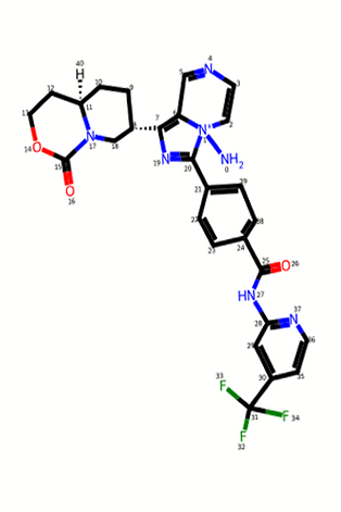 N[N+]12C=CN=CC1=C([C@H]1CC[C@@H]3CCOC(=O)N3C1)N=C2c1ccc(C(=O)Nc2cc(C(F)(F)F)ccn2)cc1